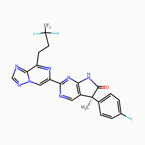 C[C@@]1(c2ccc(F)cc2)C(=O)Nc2nc(-c3cn4ncnc4c(CCC(F)(F)C(F)(F)F)n3)ncc21